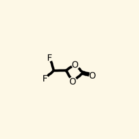 O=C1OC(C(F)F)O1